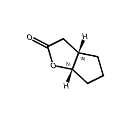 O=C1C[C@@H]2CCC[C@@H]2O1